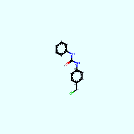 O=C(Nc1ccccc1)Nc1ccc(CCl)cc1